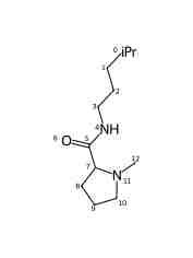 CC(C)CCCNC(=O)C1CCCN1C